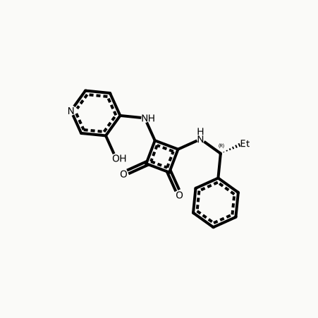 CC[C@@H](Nc1c(Nc2ccncc2O)c(=O)c1=O)c1ccccc1